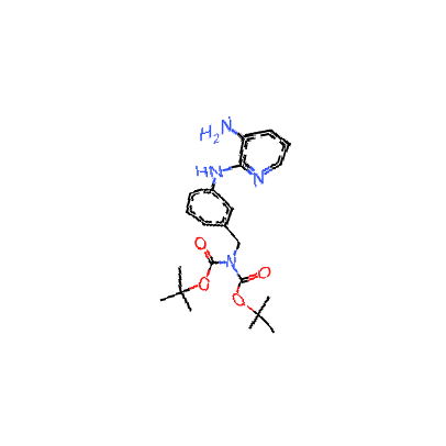 CC(C)(C)OC(=O)N(Cc1cccc(Nc2ncccc2N)c1)C(=O)OC(C)(C)C